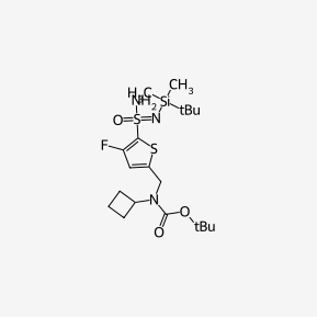 CC(C)(C)OC(=O)N(Cc1cc(F)c(S(N)(=O)=N[Si](C)(C)C(C)(C)C)s1)C1CCC1